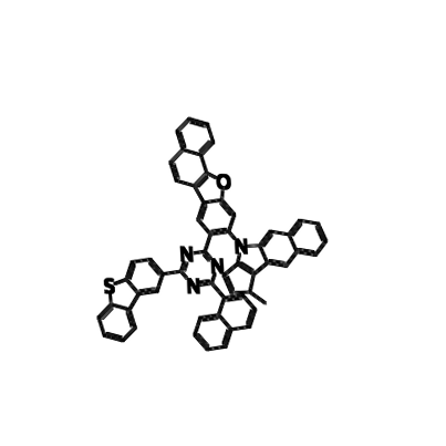 CC1C=Cc2c1c1cc3ccccc3cc1n2-c1cc2oc3c4ccccc4ccc3c2cc1-c1nc(-c2ccc3sc4ccccc4c3c2)nc(-c2cccc3ccccc23)n1